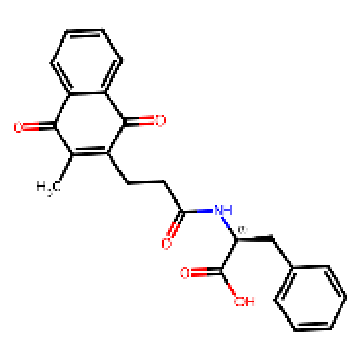 CC1=C(CCC(=O)N[C@@H](Cc2ccccc2)C(=O)O)C(=O)c2ccccc2C1=O